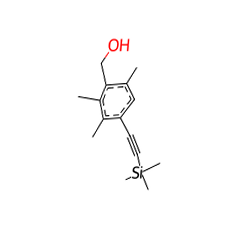 Cc1cc(C#C[Si](C)(C)C)c(C)c(C)c1CO